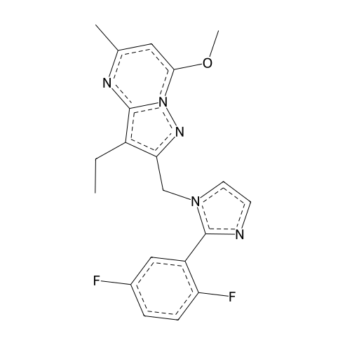 CCc1c(Cn2ccnc2-c2cc(F)ccc2F)nn2c(OC)cc(C)nc12